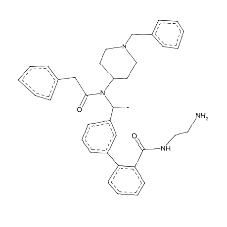 CC(c1cccc(-c2ccccc2C(=O)NCCN)c1)N(C(=O)Cc1ccccc1)C1CCN(Cc2ccccc2)CC1